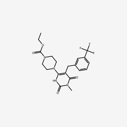 CCOC(=O)N1CCN(c2[nH]c(=O)n(C)c(=O)c2Cc2cccc(C(F)(F)F)c2)CC1